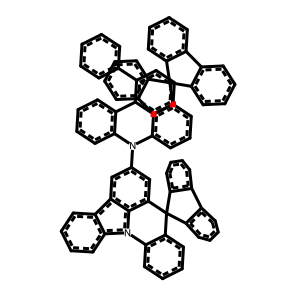 c1ccc(-c2ccccc2-c2ccccc2N(c2cc3c4c(c2)c2ccccc2n4-c2ccccc2C32c3ccccc3-c3ccccc32)c2cccc3c2-c2ccccc2C32c3ccccc3-c3ccccc32)cc1